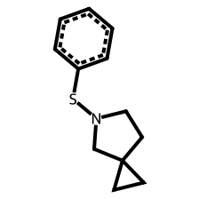 c1ccc(SN2CCC3(CC3)C2)cc1